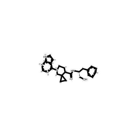 O=C(N[C@@H](CO)Cc1ccccc1)C1CCN(c2ncnc3[nH]ccc23)CC12CC2